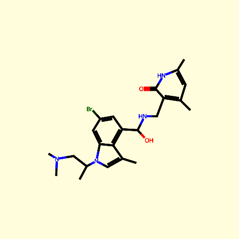 Cc1cc(C)c(CNC(O)c2cc(Br)cc3c2c(C)cn3C(C)CN(C)C)c(=O)[nH]1